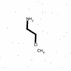 C.NCCCl